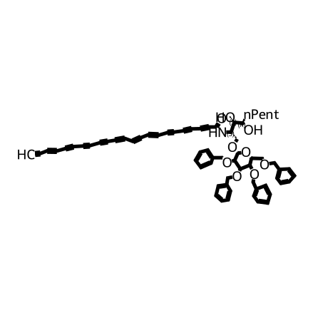 C#CC#CC#CC#CC#CC#CC#CC#CC#CC#CC#CC(=O)N[C@@H](COC1OC(COCc2ccccc2)C(OCc2ccccc2)C(OCc2ccccc2)C1OCc1ccccc1)[C@H](O)[C@H](O)CCCCC